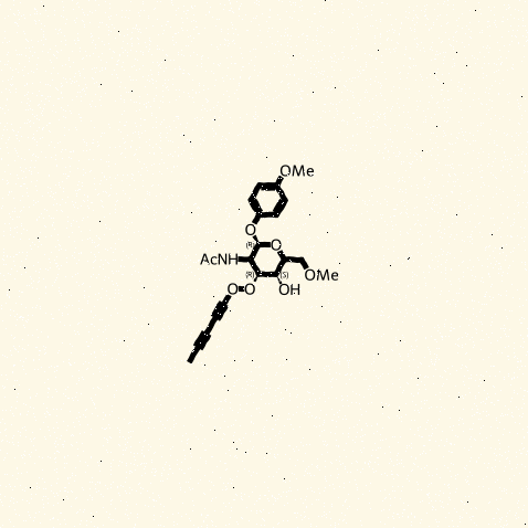 CC#CC#COO[C@@H]1C(NC(C)=O)[C@@H](Oc2ccc(OC)cc2)OC(COC)[C@@H]1O